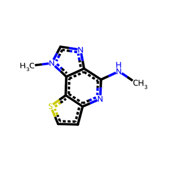 CNc1nc2ccsc2c2c1ncn2C